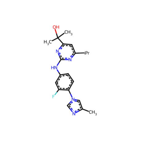 Cc1cn(-c2ccc(Nc3nc(C(C)C)cc(C(C)(C)O)n3)cc2F)cn1